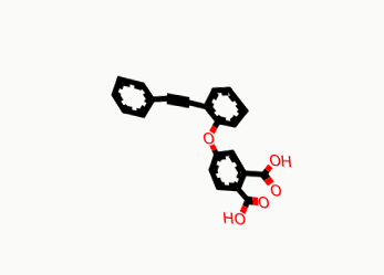 O=C(O)c1ccc(Oc2ccccc2C#Cc2ccccc2)cc1C(=O)O